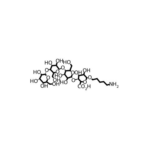 NCCCCCO[C@@H]1OC(C(=O)O)[C@@H](O[C@H]2OC(CO)[C@H](O[C@H]3OC(CO)[C@@H](O[C@@H]4OC(CO)[C@@H](O)[C@H](O)C4O)[C@H](O)C3O)[C@H](O)C2O)[C@H](O)C1O